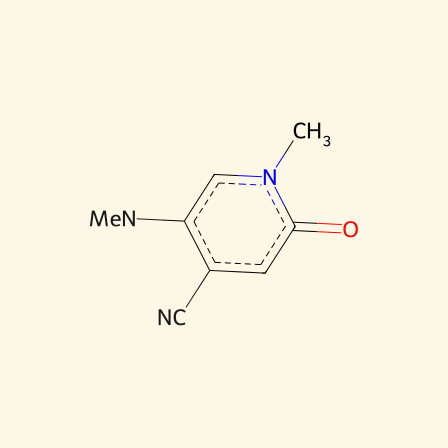 CNc1cn(C)c(=O)cc1C#N